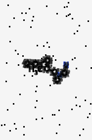 CC1c2ccc(-c3ccc4c(c3)c3ccccc3n4-c3cccc(C#N)c3)cc2-c2ccccc2CC1c1ccc(-c2ccccc2)cc1